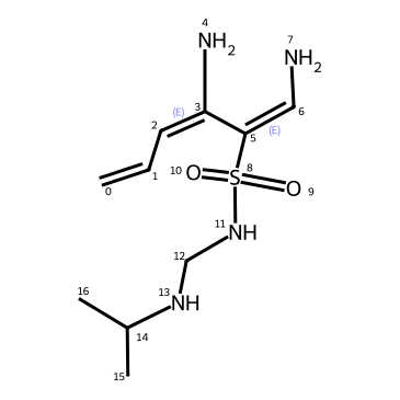 C=C/C=C(N)\C(=C/N)S(=O)(=O)NCNC(C)C